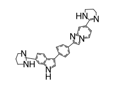 c1cc2c(-c3ccc(-c4cn5ccc(C6=NCCCN6)cc5n4)cc3)c[nH]c2cc1C1=NCCCN1